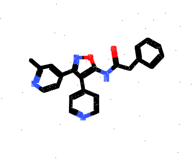 Cc1cc(-c2noc(NC(=O)Cc3ccccc3)c2-c2ccncc2)ccn1